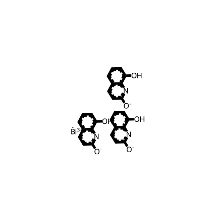 [Bi+3].[O-]c1ccc2cccc(O)c2n1.[O-]c1ccc2cccc(O)c2n1.[O-]c1ccc2cccc(O)c2n1